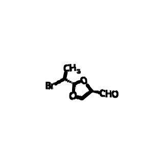 CC(Br)[C@H]1OC[C@H](C=O)O1